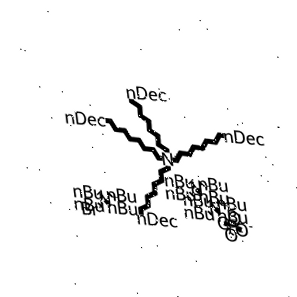 CCCCCCCCCCCCCCCCCC[N+](CCCCCCCCCCCCCCCCCC)(CCCCCCCCCCCCCCCCCC)CCCCCCCCCCCCCCCCCC.CCCC[N+](CCCC)(CCCC)CCCC.CCCC[N+](CCCC)(CCCC)CCCC.CCCC[N+](CCCC)(CCCC)CCCC.O=P([O-])([O-])[O-].[Br-]